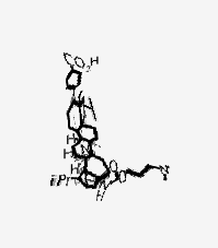 CC(C)[C@@H]1CC[C@]2(NC(=O)OCCCN(C)C)CC[C@]3(N)[C@H](CC[C@@H]4[C@@]5(C)CC[C@@H](c6ccc(C(=O)O)cc6)C(C)(C)[C@@H]5CC[C@]43C)[C@@H]12